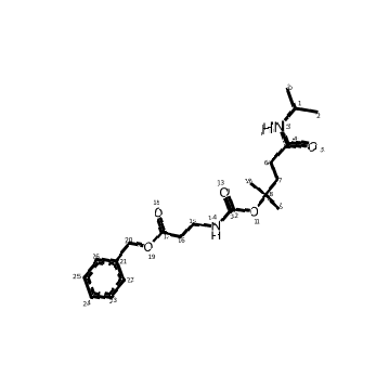 CC(C)NC(=O)CCC(C)(C)OC(=O)NCCC(=O)OCc1ccccc1